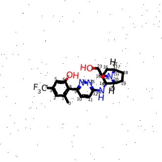 Cc1cc(C(F)(F)F)cc(O)c1-c1ccc(N[C@H]2CC[C@H]3CC[C@H]2N3CCO)nn1